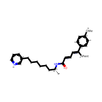 CCCCC/C(=C\C=C\C(=O)N[C@H](C)CCCCCCc1cccnc1)c1ccc(OC)cc1